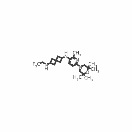 Cc1nc(N2CC(C)(C)OC(C)(C)C2)ccc1NC1CC2(CC(NCC(F)(F)F)C2)C1